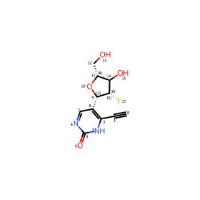 C#Cc1[nH]c(=O)ncc1[C@@H]1O[C@H](CO)C(O)[C@@H]1F